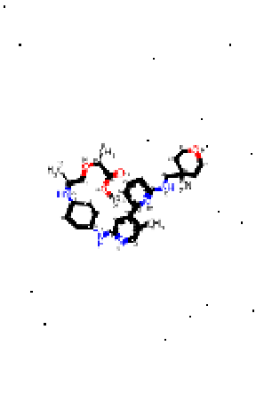 Cc1cnc(N[C@H]2CC[C@H](N[C@@H](C)CO[C@H](C)C(=O)OC(C)(C)C)CC2)cc1-c1cccc(NCC2(C#N)CCOCC2)n1